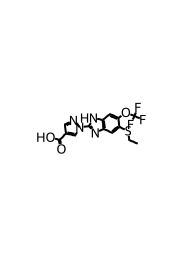 CCSc1cc2nc(-n3cc(C(=O)O)cn3)[nH]c2cc1OC(F)(F)F